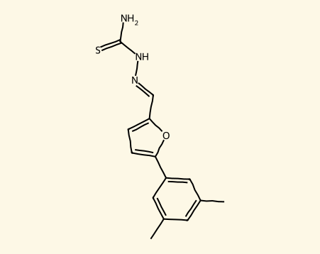 Cc1cc(C)cc(-c2ccc(/C=N/NC(N)=S)o2)c1